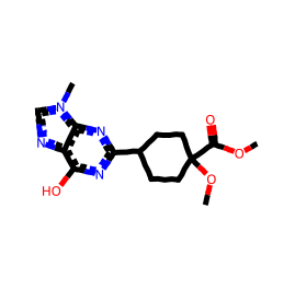 COC(=O)C1(OC)CCC(c2nc(O)c3ncn(C)c3n2)CC1